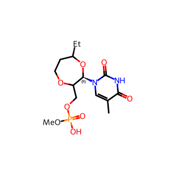 CCC1CCOC(COP(=O)(O)OC)[C@H](n2cc(C)c(=O)[nH]c2=O)O1